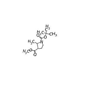 COC(=O)C1CCN(C(=O)OC(C)(C)C)C1C